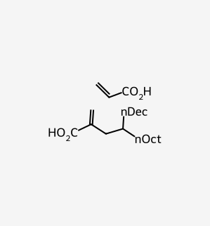 C=C(CC(CCCCCCCC)CCCCCCCCCC)C(=O)O.C=CC(=O)O